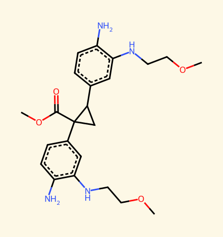 COCCNc1cc(C2CC2(C(=O)OC)c2ccc(N)c(NCCOC)c2)ccc1N